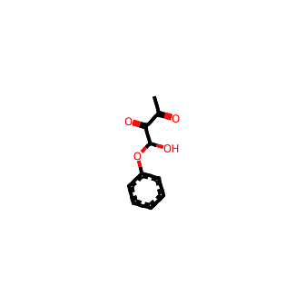 CC(=O)C(=O)C(O)Oc1ccccc1